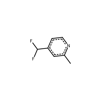 Cc1cc(C(F)F)ccn1